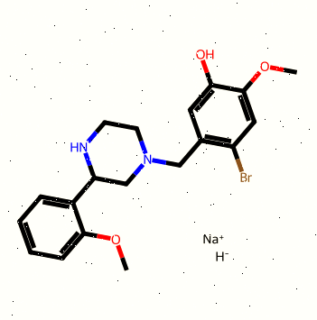 COc1cc(Br)c(CN2CCNC(c3ccccc3OC)C2)cc1O.[H-].[Na+]